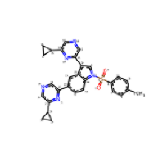 Cc1ccc(S(=O)(=O)n2cc(-c3cncc(C4CC4)n3)c3cc(-c4cncc(C5CC5)n4)ccc32)cc1